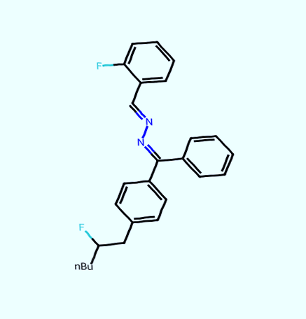 CCCCC(F)Cc1ccc(C(=NN=Cc2ccccc2F)c2ccccc2)cc1